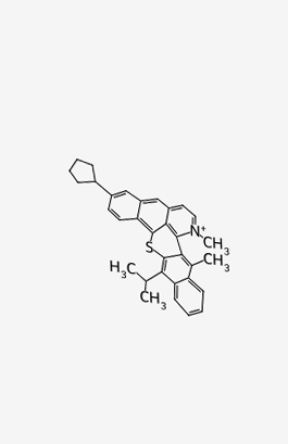 Cc1c2c(c(C(C)C)c3ccccc13)Sc1c3ccc(C4CCCC4)cc3cc3cc[n+](C)c-2c13